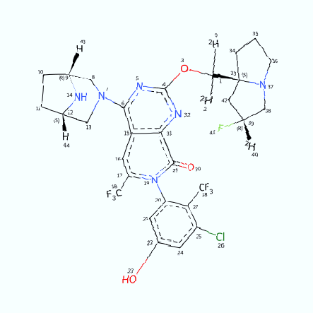 [2H]C([2H])(Oc1nc(N2C[C@H]3CC[C@@H](C2)N3)c2cc(C(F)(F)F)n(-c3cc(O)cc(Cl)c3C(F)(F)F)c(=O)c2n1)[C@@]12CCCN1C[C@]([2H])(F)C2